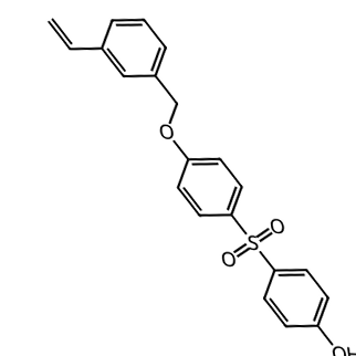 C=Cc1cccc(COc2ccc(S(=O)(=O)c3ccc(O)cc3)cc2)c1